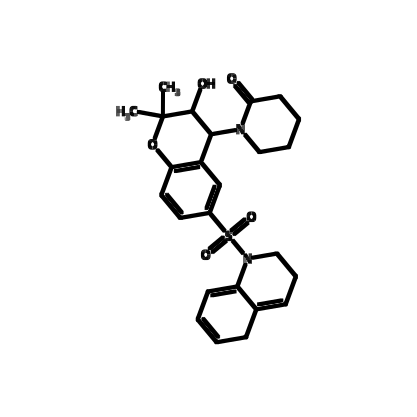 CC1(C)Oc2ccc(S(=O)(=O)N3CCC=C4CC=CC=C43)cc2C(N2CCCCC2=O)C1O